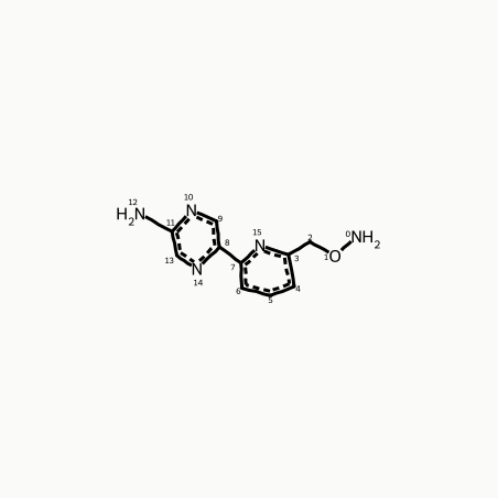 NOCc1cccc(-c2cnc(N)cn2)n1